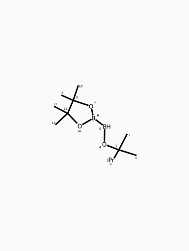 CC(C)C(C)(C)OBB1OC(C)(C)C(C)(C)O1